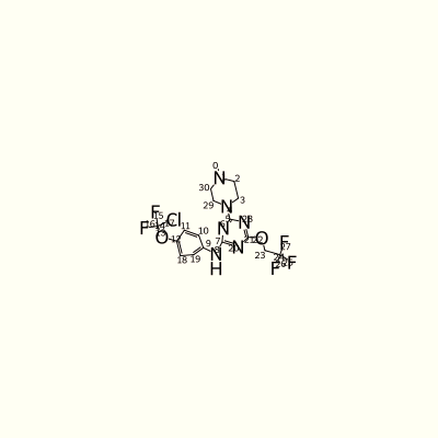 CN1CCN(c2nc(Nc3ccc(OC(F)(F)Cl)cc3)nc(OCC(F)(F)F)n2)CC1